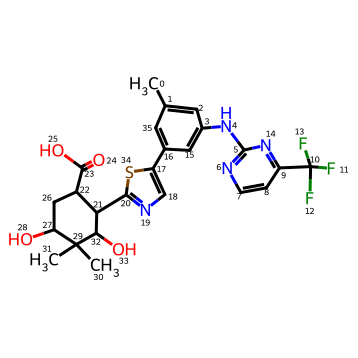 Cc1cc(Nc2nccc(C(F)(F)F)n2)cc(-c2cnc(C3C(C(=O)O)CC(O)C(C)(C)C3O)s2)c1